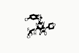 Cn1c(=O)n(C2CCOCC2)c2nc(-n3cnc4ccc(Cl)cc43)nc(NCC(F)(F)CCl)c21